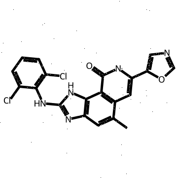 Cc1cc2nc(Nc3c(Cl)cccc3Cl)[nH]c2c2c1C=C(c1cnco1)[N]C2=O